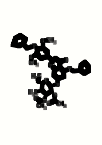 CC[C@H]1O[C@@H](Oc2cc(OCc3ccccc3)c3c(=O)cc(-c4cc(OC)c(OCc5ccccc5)c(OC)c4)oc3c2)[C@H](OC(C)=O)[C@@H](OC(C)=O)[C@H]1C